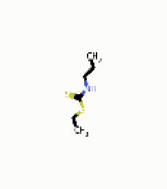 CCCNC(=S)SCC